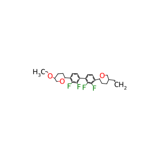 C=CC1CCC(c2ccc(-c3ccc(C4CCC(OCC)CO4)c(F)c3F)c(F)c2F)OC1